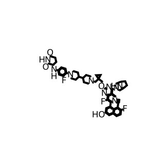 C#Cc1c(F)ccc2cc(O)cc(-c3ncc4c(N5CC6CCC(C5)N6)nc(OCC5(CN6CCC(C7CCN(c8ccc(NC9CCC(=O)NC9=O)cc8F)CC7)CC6)CC5)nc4c3F)c12